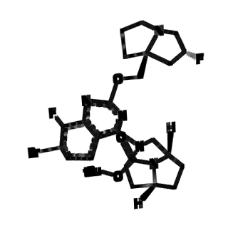 CC(C)(C)OC(=O)N1[C@@H]2CC[C@H]1CN(c1nc(OC[C@@]34CCCN3C[C@H](F)C4)nc3c(F)c(Br)ccc13)CC2